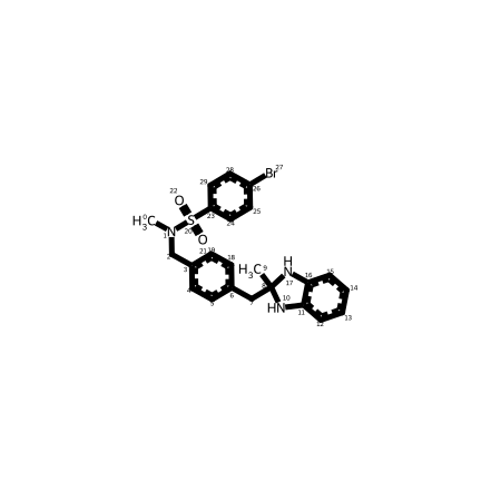 CN(Cc1ccc(CC2(C)Nc3ccccc3N2)cc1)S(=O)(=O)c1ccc(Br)cc1